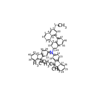 CCc1cc2cccc3c4cc(N(c5ccc6c(c5)C(C)(C)c5ccccc5-6)c5ccc6c(c5)C(C)(C)C5C=CC=CC65)cc5cccc(c(c1)c23)c54